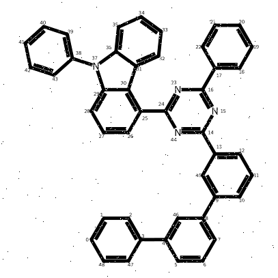 c1ccc(-c2cccc(-c3cccc(-c4nc(-c5ccccc5)nc(-c5cccc6c5c5ccccc5n6-c5ccccc5)n4)c3)c2)cc1